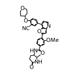 COc1cc(C(=O)NC2CCC(=O)NC2C)ccc1-c1cc2nccc(-c3ccc(OC4CCOCC4)c(C#N)c3)c2o1